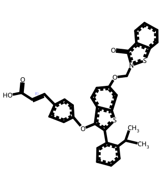 CC(C)c1ccccc1-c1sc2cc(OCn3sc4ccccc4c3=O)ccc2c1Oc1ccc(/C=C/C(=O)O)cc1